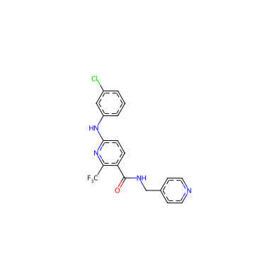 O=C(NCc1ccncc1)c1ccc(Nc2cccc(Cl)c2)nc1C(F)(F)F